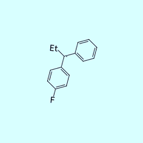 CC[C](c1ccccc1)c1ccc(F)cc1